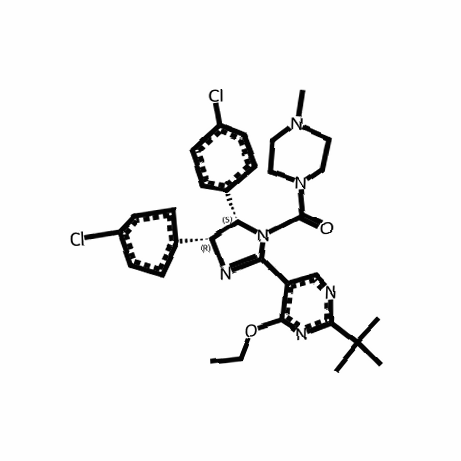 CCOc1nc(C(C)(C)C)ncc1C1=N[C@H](c2ccc(Cl)cc2)[C@H](c2ccc(Cl)cc2)N1C(=O)N1CCN(C)CC1